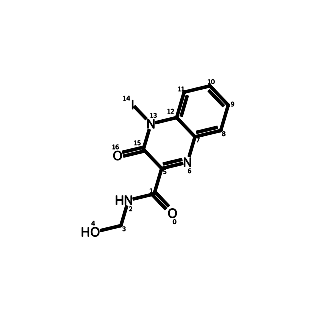 O=C(NCO)c1nc2ccccc2n(I)c1=O